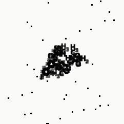 CC(=O)NC(CSC(=O)C(CSC(=O)c1cc(-c2ccc(F)cc2F)ccc1OC(=O)C(CS)NC(C)=O)NC(C)=O)C(N)=O